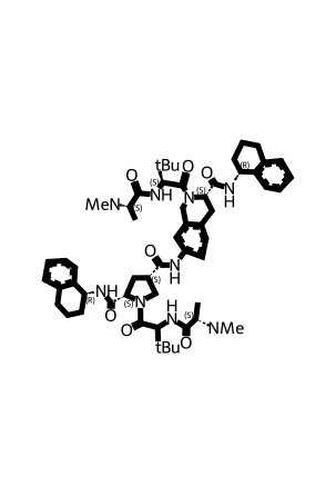 CN[C@@H](C)C(=O)NC(C(=O)N1C[C@@H](C(=O)Nc2ccc3c(c2)CN(C(=O)[C@@H](NC(=O)[C@H](C)NC)C(C)(C)C)[C@H](C(=O)N[C@@H]2CCCc4ccccc42)C3)C[C@H]1C(=O)N[C@@H]1CCCc2ccccc21)C(C)(C)C